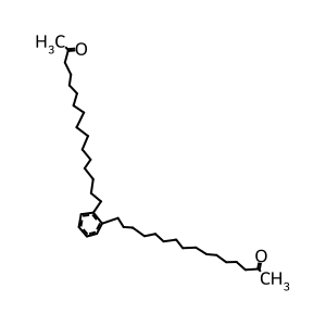 CC(=O)CCCCCCCCCCCCCCc1ccccc1CCCCCCCCCCCCCCC(C)=O